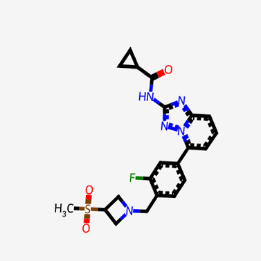 CS(=O)(=O)C1CN(Cc2ccc(-c3cccc4nc(NC(=O)C5CC5)nn34)cc2F)C1